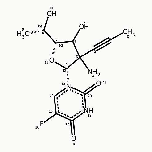 CC#CC1(N)C(O)[C@@H]([C@H](C)O)O[C@H]1n1cc(F)c(=O)[nH]c1=O